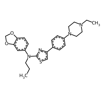 CCCN(c1ccc2c(c1)OCO2)c1nc(-c2ccc(N3CCN(CC)CC3)cc2)cs1